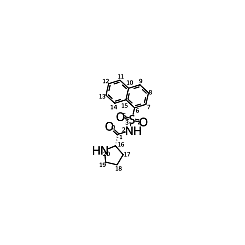 O=C(NS(=O)(=O)c1cccc2ccccc12)[C@@H]1CCCN1